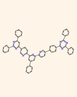 c1ccc(-c2cc(-c3ccc(-c4ccc(-c5nc(-c6ccccc6)nc(-c6ccccc6)n5)cc4)cn3)nc(-c3ccc(-c4cc(-c5ccccc5)nc(-c5ccccc5)n4)cn3)c2)cc1